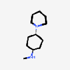 CN[C@H]1CC[C@H](N2CCCCC2)CC1